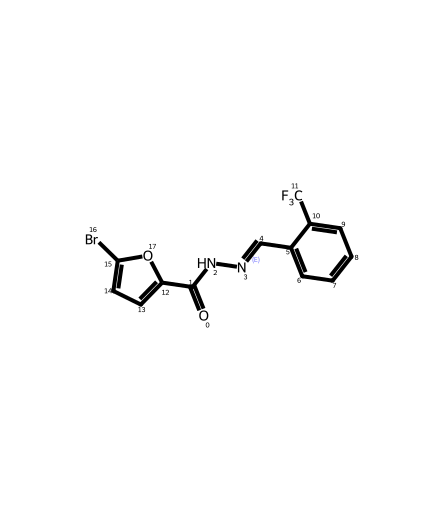 O=C(N/N=C/c1ccccc1C(F)(F)F)c1ccc(Br)o1